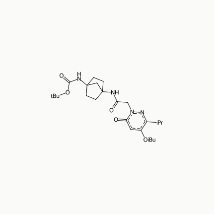 CC(C)COc1cc(=O)n(CC(=O)NC23CCC(NC(=O)OC(C)(C)C)(CC2)C3)nc1C(C)C